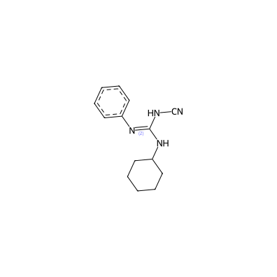 N#CN/C(=N\c1ccccc1)NC1CCCCC1